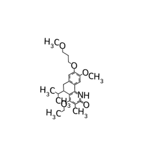 CCOc1c2c([nH]c(=O)c1C)-c1cc(OC)c(OCCCOC)cc1CC2C(C)C